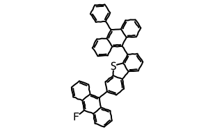 Fc1c2ccccc2c(-c2ccc3c(c2)sc2c(-c4c5ccccc5c(-c5ccccc5)c5ccccc45)cccc23)c2ccccc12